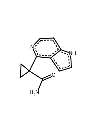 NC(=O)C1(c2nccc3[nH]ccc23)CC1